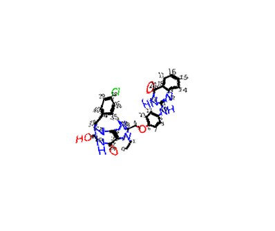 CCn1c(COc2ccc(Nc3nc4ccccc4c(=O)[nH]3)cc2)nc2c1C(=O)NC(O)N2Cc1ccc(Cl)cc1